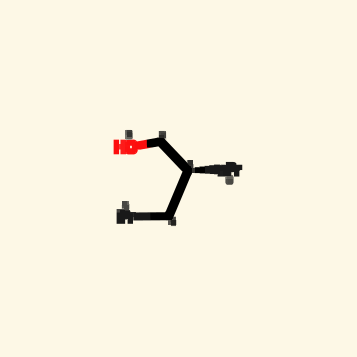 CCC[C@@H](CO)CC(C)C